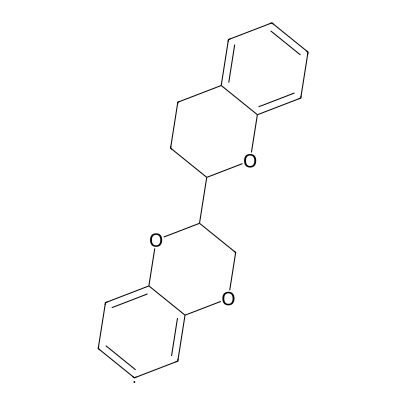 [c]1ccc2c(c1)OCC(C1CCc3ccccc3O1)O2